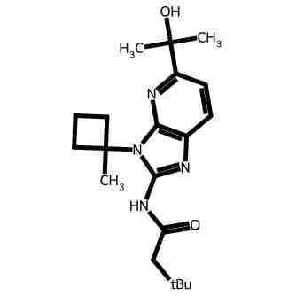 CC(C)(C)CC(=O)Nc1nc2ccc(C(C)(C)O)nc2n1C1(C)CCC1